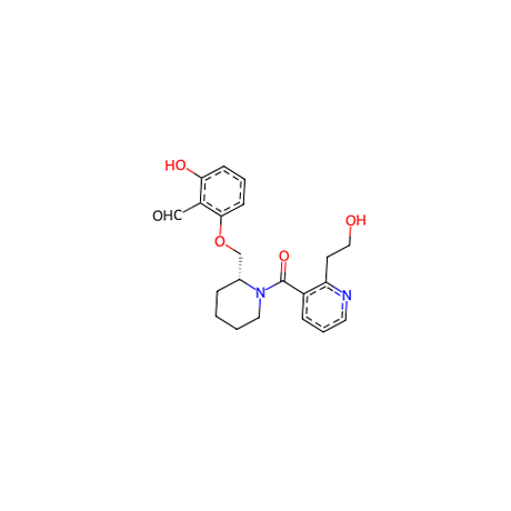 O=Cc1c(O)cccc1OC[C@H]1CCCCN1C(=O)c1cccnc1CCO